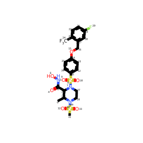 CC1C(C(=O)NO)N(S(=O)(=O)c2ccc(OCc3cc(F)ccc3C(F)(F)F)cc2)CCN1S(C)(=O)=O